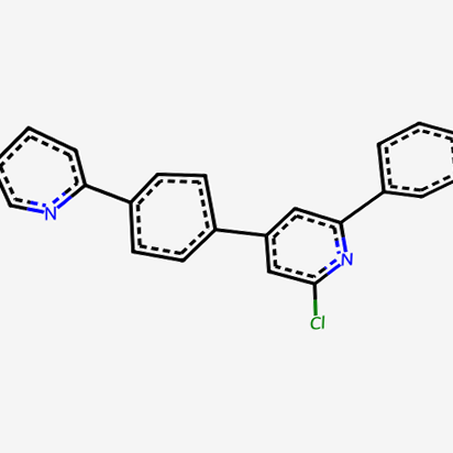 Clc1cc(-c2ccc(-c3ccccn3)cc2)cc(-c2ccccc2)n1